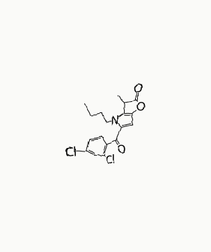 CCCCn1c(C(=O)c2ccc(Cl)cc2Cl)cc2c1C(C)C(=O)O2